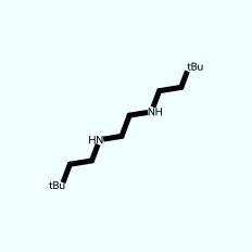 CC(C)(C)CCNCCNCCC(C)(C)C